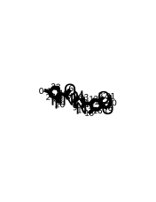 Cc1ccc(C(=O)Nc2cnc(-c3cc4c(cc3C)OCCO4)cn2)c(F)c1